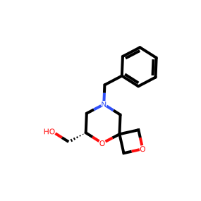 OC[C@@H]1CN(Cc2ccccc2)CC2(COC2)O1